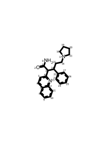 NC(=O)C(c1ccc2ccccc2n1)C(CCN1CCCC1)c1ccccc1